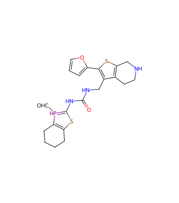 O=C[PH]1=C(NC(=O)NCc2c(-c3ccco3)sc3c2CCNC3)SC2=C1CCCC2